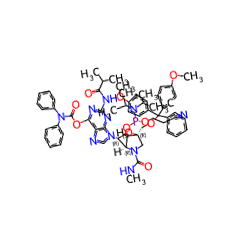 CNC(=O)N1C[C@]2(COC(c3ccccc3)(c3ccc(OC)cc3)c3ccc(OC)cc3)O[C@@H](n3cnc4c(OC(=O)N(c5ccccc5)c5ccccc5)nc(NC(=O)C(C)C)nc43)[C@H]1[C@@H]2OP(OCCC#N)N(C(C)C)C(C)C